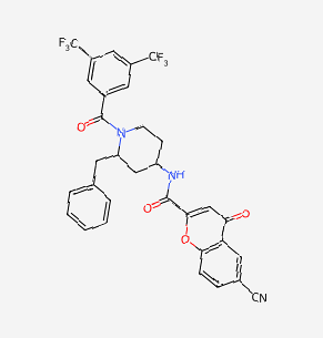 N#Cc1ccc2oc(C(=O)NC3CCN(C(=O)c4cc(C(F)(F)F)cc(C(F)(F)F)c4)C(Cc4ccccc4)C3)cc(=O)c2c1